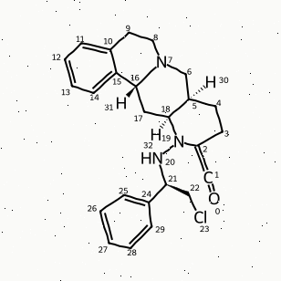 O=C=C1CC[C@@H]2CN3CCc4ccccc4[C@H]3C[C@@H]2N1N[C@@H](CCl)c1ccccc1